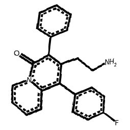 NCCc1c(-c2ccccc2)c(=O)n2ccccc2c1-c1ccc(F)cc1